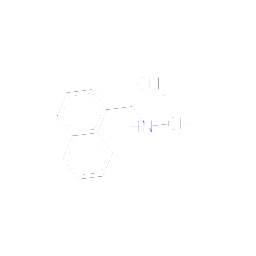 [CH2][C@H](NC)c1cccc2ccccc12